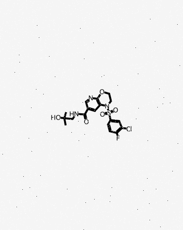 CC(C)(O)CNC(=O)c1cnc2c(c1)N(S(=O)(=O)c1ccc(F)c(Cl)c1)CCO2